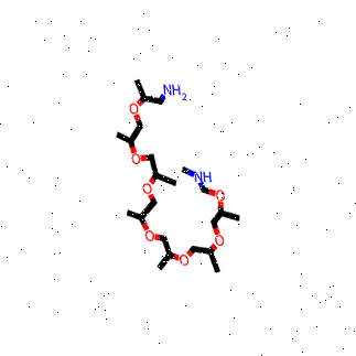 CNCOC(C)COC(C)COC(C)COC(C)COC(C)COC(C)COC(C)CN